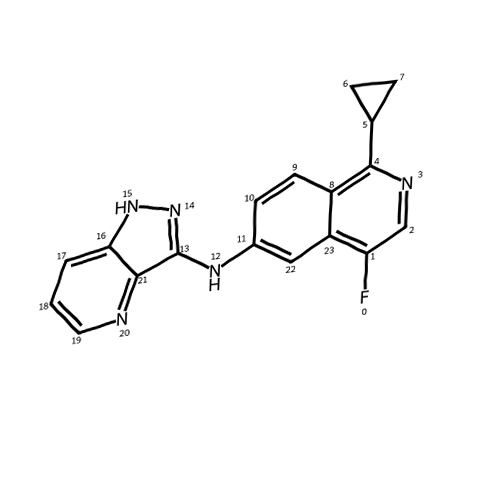 Fc1cnc(C2CC2)c2ccc(Nc3n[nH]c4cccnc34)cc12